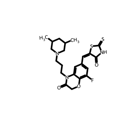 CC1CC(C)CN(CCCN2C(=O)COc3c(F)cc(C=C4SC(=S)NC4=O)cc32)C1